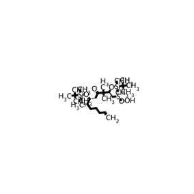 C=CCCC[C@H](C)[C@@H](CC(=O)C(C)(C)[C@H](CSOO)O[Si](C)(C)C(C)(C)C)O[Si](C)(C)C(C)(C)C